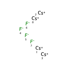 [Cs+].[Cs+].[Cs+].[Cs+].[F-].[F-].[F-].[F-]